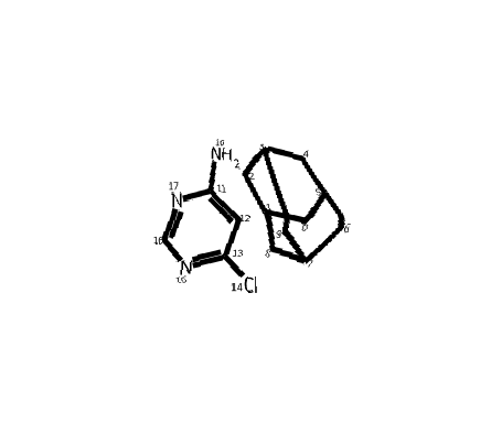 C1C2CC3CC1CC(C2)C3.Nc1cc(Cl)ncn1